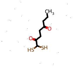 CCCC(=O)CCC(=O)C(S)S